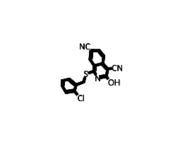 N#Cc1ccc2c(C#N)c(O)nc(SCc3ccccc3Cl)c2c1